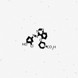 O=C(O)N1CCC[C@@H](Oc2cccc3ncnc(/N=N/c4ccc(O)c(Cl)c4)c23)C1